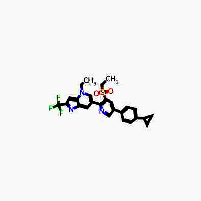 CCn1cc(-c2ncc(-c3ccc(C4CC4)cc3)cc2S(=O)(=O)CC)cc2nc(C(F)(F)F)cc1-2